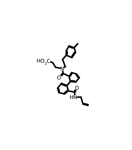 C=CCNC(=O)c1ccccc1-c1ccccc1C(=O)N(CCC(=O)O)CCc1ccc(C)cc1